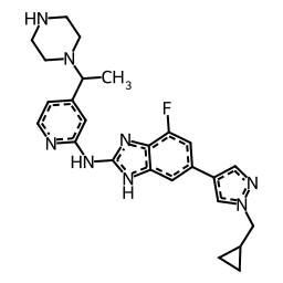 CC(c1ccnc(Nc2nc3c(F)cc(-c4cnn(CC5CC5)c4)cc3[nH]2)c1)N1CCNCC1